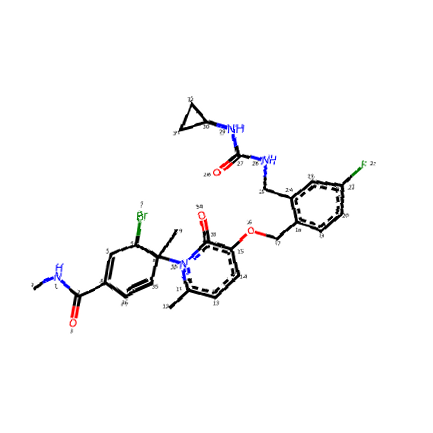 CNC(=O)C1=CC(Br)C(C)(n2c(C)ccc(OCc3ccc(F)cc3CNC(=O)NC3CC3)c2=O)C=C1